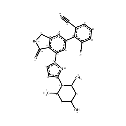 CC1CC(O)CC(C)N1c1ccn(-c2cc(-c3c(F)cccc3C#N)nc3c2C(=O)NC3)n1